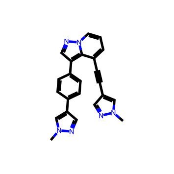 Cn1cc(C#Cc2cccn3ncc(-c4ccc(-c5cnn(C)c5)cc4)c23)cn1